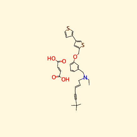 CCN(CC=CC#CC(C)(C)C)Cc1cccc(OCc2cc(-c3ccsc3)cs2)c1.O=C(O)C=CC(=O)O